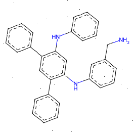 NCc1cccc(Nc2cc(Nc3ccccc3)c(-c3ccccc3)cc2-c2ccccc2)c1